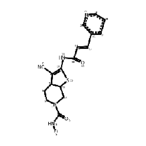 CCNC(=O)N1CCC2C(C#N)=C(NC(=O)/C=C/c3cccnc3)SC2C1